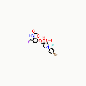 O=C1COc2c(OC[C@]3(O)CCN(c4ccc(Br)cc4F)C[C@H]3O)ccc(CI)c2N1